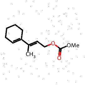 COC(=O)OCC=C(C)C1=CCCCC1